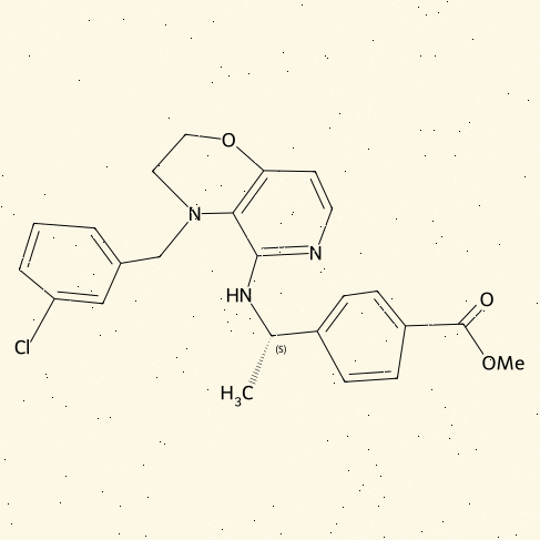 COC(=O)c1ccc([C@H](C)Nc2nccc3c2N(Cc2cccc(Cl)c2)CCO3)cc1